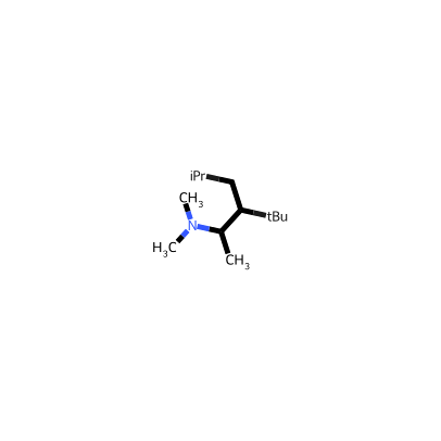 CC(C)CC(C(C)N(C)C)C(C)(C)C